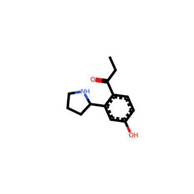 CCC(=O)c1ccc(O)cc1C1CCCN1